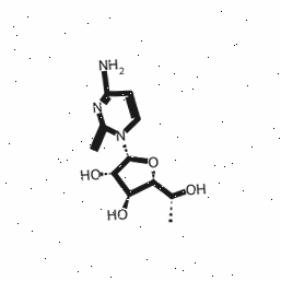 C=C1N=C(N)C=CN1[C@@H]1O[C@H]([C@@H](C)O)[C@@H](O)[C@@H]1O